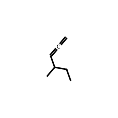 C=C=C[C](C)CC